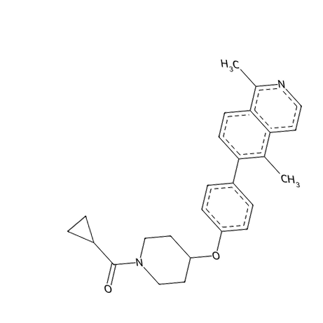 Cc1nccc2c(C)c(-c3ccc(OC4CCN(C(=O)C5CC5)CC4)cc3)ccc12